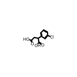 O=C(O)CC(C(=O)O)c1cccc(Cl)c1